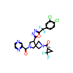 O=C(c1cnccn1)N1CC(c2nnc(C(F)(F)c3ccc(Cl)c(Cl)c3)o2)C2(C1)CN(C(=O)[C@H]1CC1(F)F)C2